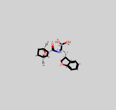 O=C(N[C@@H](C[C@H]1COc2ccccc21)B(O)O)[C@@H]1C[C@H]2CC[C@@H]1O2